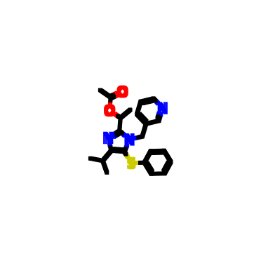 CC(=O)OC(C)c1nc(C(C)C)c(Sc2ccccc2)n1Cc1cccnc1